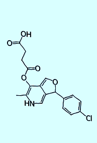 CC1=C(OC(=O)CCC(=O)O)C2=COC(c3ccc(Cl)cc3)C2=CN1